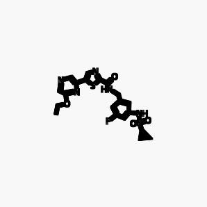 CCOc1cncc(-c2cnc(C(=O)NCc3cc(F)cc(NS(=O)(=O)C4CC4)c3)s2)n1